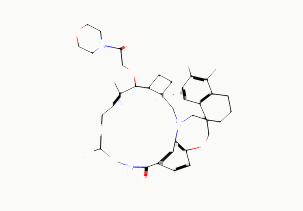 C/C1=C\CCC(C)SNC(=O)c2ccc3c(c2)N(C[C@@H]2CCC2C1OCC(=O)N1CCOCC1)CC1(CCCc2c1ccc(Cl)c2F)CO3